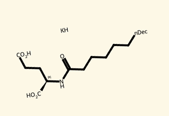 CCCCCCCCCCCCCCCC(=O)N[C@H](CCC(=O)O)C(=O)O.[KH]